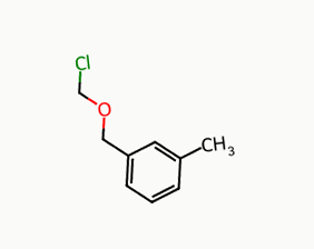 Cc1cccc(COCCl)c1